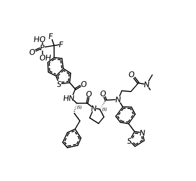 CN(C)C(=O)CCN(C(=O)[C@@H]1CCCN1C(=O)[C@H](CCc1ccccc1)NC(=O)c1cc2cc(C(F)(F)P(=O)(O)O)ccc2s1)c1ccc(-c2nccs2)cc1